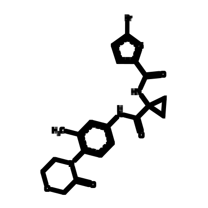 Cc1cc(NC(=O)C2(NC(=O)c3ccc(Br)s3)CC2)ccc1N1CCOCC1=O